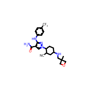 CC1(CNC2CCC(n3cc(C(N)=O)c(Nc4ccc(C(F)(F)F)cc4)n3)C(C#N)C2)COC1